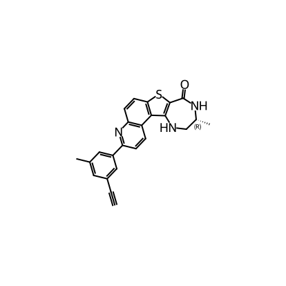 C#Cc1cc(C)cc(-c2ccc3c(ccc4sc5c(c43)NC[C@@H](C)NC5=O)n2)c1